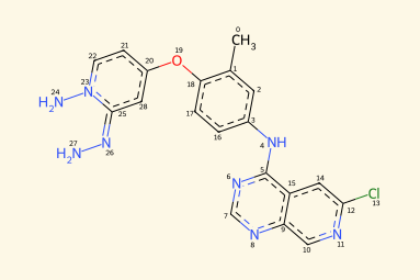 Cc1cc(Nc2ncnc3cnc(Cl)cc23)ccc1Oc1ccn(N)/c(=N\N)c1